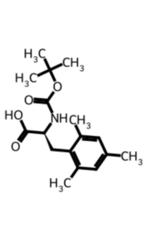 Cc1cc(C)c(C[C@H](NC(=O)OC(C)(C)C)C(=O)O)c(C)c1